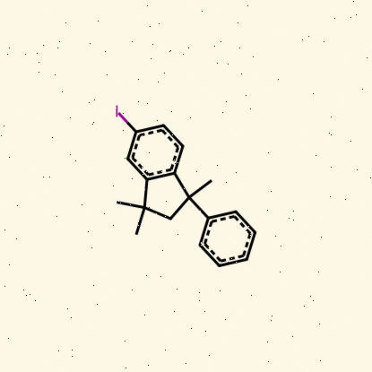 CC1(C)CC(C)(c2ccccc2)c2ccc(I)cc21